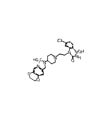 O=C1NN(O)c2ccc(Cl)cc2N1CCN1CCC(N(Cc2cc3c(cn2)OCCO3)C(=O)O)CC1